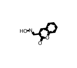 O=c1oc2ccccc2cc1C=NO